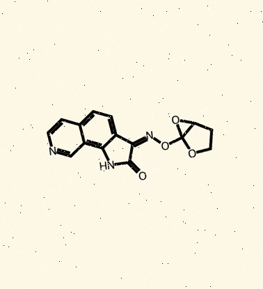 O=C1Nc2c(ccc3ccncc23)C1=NOC12OCCC1O2